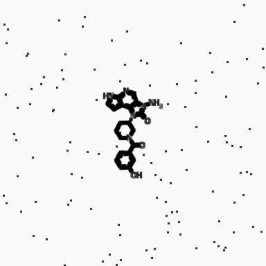 Nn1c(=O)n([C@@H]2CCCN(C(=O)c3cccc(O)c3)C2)c2c3cc[nH]c3ncc21